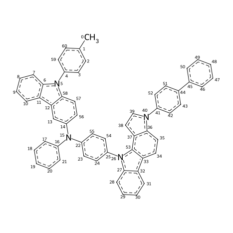 Cc1ccc(-n2c3ccccc3c3cc(N(c4ccccc4)c4ccc(-n5c6ccccc6c6ccc7c(ccn7-c7ccc(-c8ccccc8)cc7)c65)cc4)ccc32)cc1